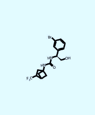 O=C(N[C@H](CO)c1cccc(Br)c1)NC12CC(C1)C(C(F)(F)F)C2